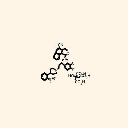 C=Cc1c(C#N)cc2ccccc2c1C(=O)N(C)C[C@@H](CCN1CCC(c2ccccc2[S@+](C)[O-])CC1)c1ccc(Cl)c(Cl)c1.O=C(O)CC(O)(CC(=O)O)C(=O)O